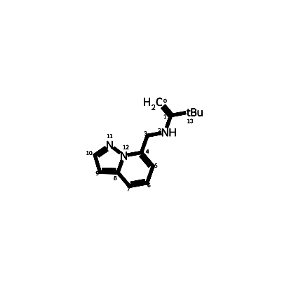 C=C(NCc1cccc2ccnn12)C(C)(C)C